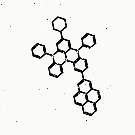 c1ccc(N2c3ccccc3B3c4cc(-c5cc6ccc7cccc8ccc(c5)c6c78)ccc4N(c4ccccc4)c4cc(C5CCCCC5)cc2c43)cc1